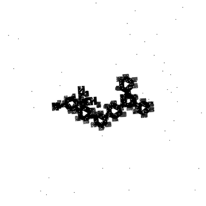 CC1(C)c2ccc(C#N)cc2-c2ccc(-c3cccc(-c4ccc(-c5cc(-c6ccccc6)nc(-c6ccccc6)n5)cc4)c3)cc21